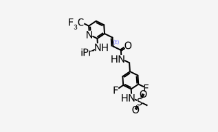 CC(C)Nc1nc(C(F)(F)F)ccc1/C=C/C(=O)NCc1cc(F)c(NS(C)(=O)=O)c(F)c1